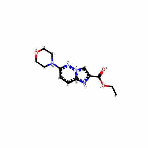 CCOC(=O)c1cn2nc(N3CCOCC3)ccc2n1